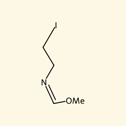 CO/C=N\CCI